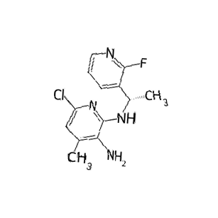 Cc1cc(Cl)nc(N[C@@H](C)c2cccnc2F)c1N